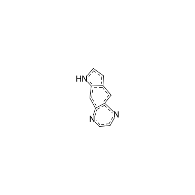 c1cnc2cc3[nH]ccc3cc2n1